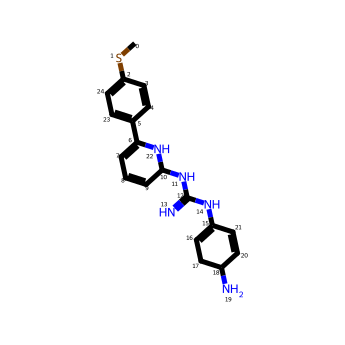 CSc1ccc(C2=CC=CC(NC(=N)NC3=CCC(N)C=C3)N2)cc1